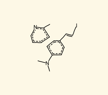 CN(C)c1ccc(C=CI)cc1.Cc1ccccn1